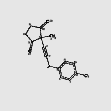 CC1(C#CCc2ccc(Cl)cc2)C(=O)CCC1=O